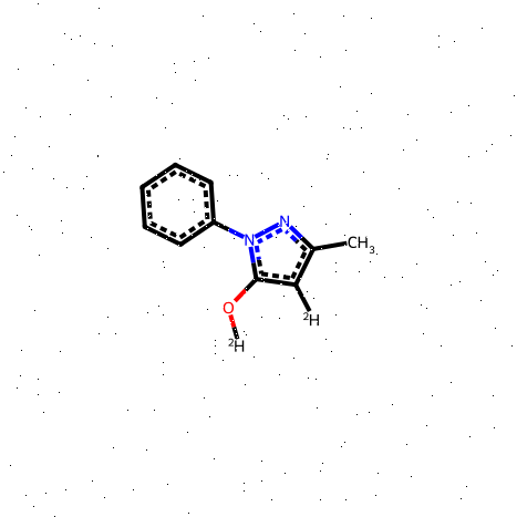 [2H]Oc1c([2H])c(C)nn1-c1ccccc1